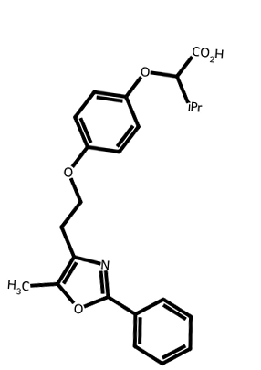 Cc1oc(-c2ccccc2)nc1CCOc1ccc(OC(C(=O)O)C(C)C)cc1